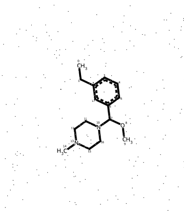 CCc1cccc(C(OC)N2CCN(C)CC2)c1